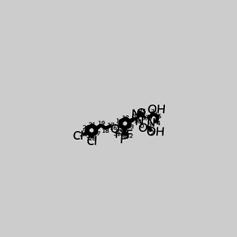 O=C(O)N1CC[C@H](O)[C@H]1c1nc(-c2ccc(OCCCc3ccc(Cl)c(Cl)c3)c(C(F)(F)F)c2)no1